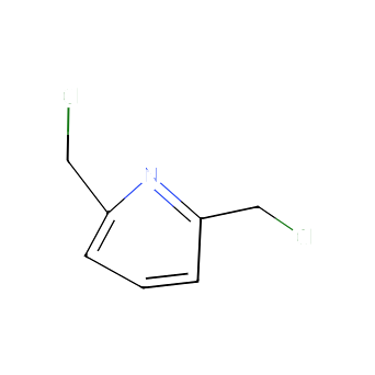 ClCc1cccc(CCl)n1